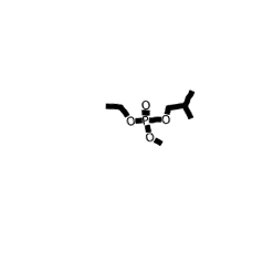 CCOP(=O)(OC)OCC(C)C